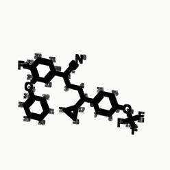 N#CC(CCC(c1ccc(OC(F)(F)F)cc1)C1CC1)c1ccc(F)c(Oc2ccccc2)c1